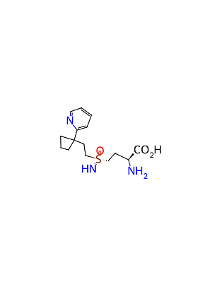 N=[S@@](=O)(CC[C@H](N)C(=O)O)CCC1(c2ccccn2)CCC1